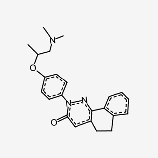 CC(CN(C)C)Oc1ccc(-n2nc3c(cc2=O)CCc2ccccc2-3)cc1